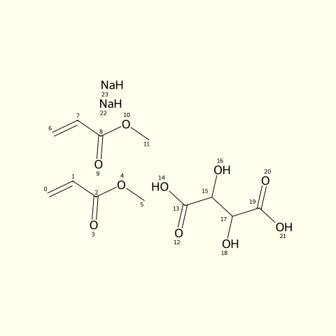 C=CC(=O)OC.C=CC(=O)OC.O=C(O)C(O)C(O)C(=O)O.[NaH].[NaH]